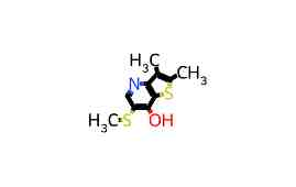 CSc1cnc2c(C)c(C)sc2c1O